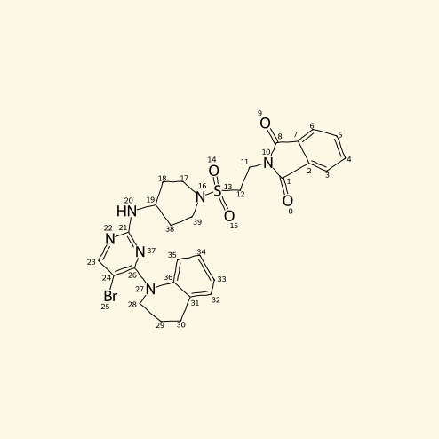 O=C1c2ccccc2C(=O)N1CCS(=O)(=O)N1CCC(Nc2ncc(Br)c(N3CCCc4ccccc43)n2)CC1